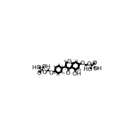 O=c1c(-c2ccc(OCOP(=O)(O)O)cc2)coc2cc(OCOP(=O)(O)O)cc(O)c12